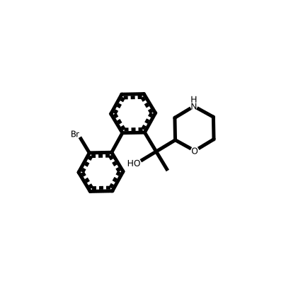 CC(O)(c1ccccc1-c1ccccc1Br)C1CNCCO1